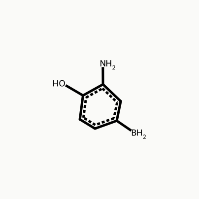 Bc1ccc(O)c(N)c1